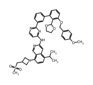 COc1ccc(COc2cccc(-c3cccc(-c4nccc(Nc5cc6c(C(C)C)ccc(N7CC(CS(C)(=O)=O)C7)c6cn5)n4)c3)c2C2OCCO2)cc1